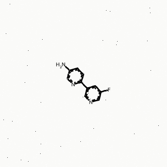 Nc1ccc(-c2cncc(F)c2)nc1